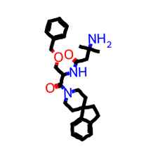 CC(C)(N)CC(=O)NC(COCc1ccccc1)C(=O)N1CCC2(CCc3ccccc32)CC1